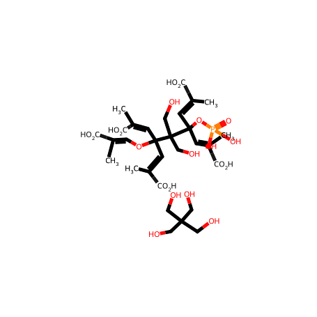 CC(=COC(C=C(C)C(=O)O)(C=C(C)C(=O)O)C(CO)(CO)C(C=C(C)C(=O)O)(C=C(C)C(=O)O)OP(=O)(O)O)C(=O)O.OCC(CO)(CO)CO